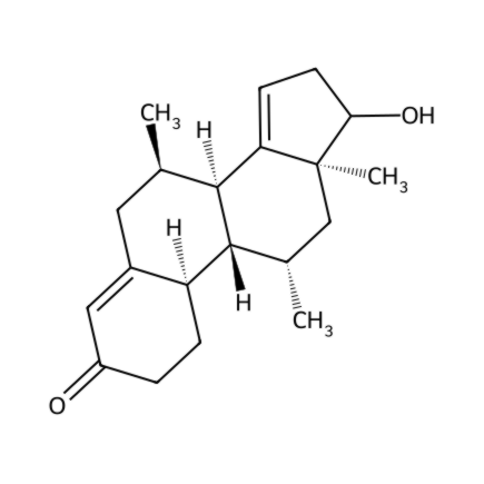 C[C@@H]1CC2=CC(=O)CC[C@@H]2[C@@H]2[C@@H]1C1=CCC(O)[C@@]1(C)C[C@@H]2C